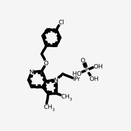 Cc1c(C)n(CC(C)C)c2c(OCc3ccc(Cl)cc3)nccc12.O=P(O)(O)O